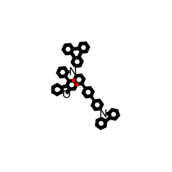 c1ccc(N(c2ccc(-c3ccc(-c4ccc(-n5c6ccccc6c6ccccc65)cc4)cc3)cc2)c2ccc3c4ccccc4c4ccccc4c3c2)c(-c2cccc3oc4ccccc4c23)c1